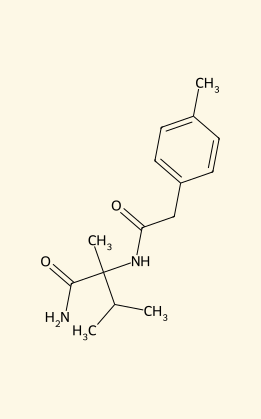 Cc1ccc(CC(=O)NC(C)(C(N)=O)C(C)C)cc1